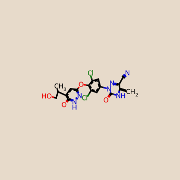 C=C1NC(=O)N(c2cc(Cl)c(Oc3cc(C(C)CO)c(=O)[nH]n3)c(Cl)c2)N=C1C#N